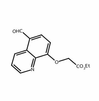 CCOC(=O)COc1ccc(C=O)c2cccnc12